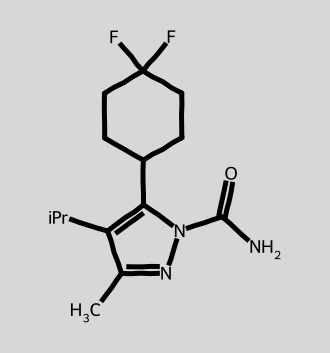 Cc1nn(C(N)=O)c(C2CCC(F)(F)CC2)c1C(C)C